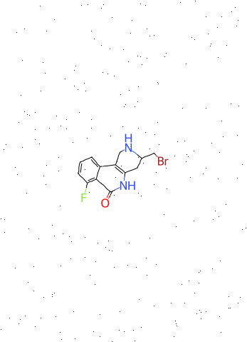 O=c1[nH]c2c(c3cccc(F)c13)CNC(CBr)C2